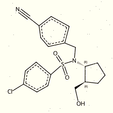 N#Cc1ccc(CN([C@@H]2CCC[C@H]2CO)S(=O)(=O)c2ccc(Cl)cc2)cc1